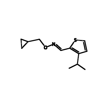 CC(C)c1ccsc1/C=N/OCC1CC1